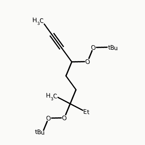 CC#CC(CCC(C)(CC)OOC(C)(C)C)OOC(C)(C)C